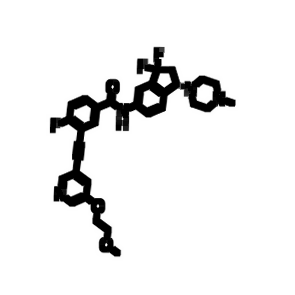 COCCOc1cncc(C#Cc2cc(C(=O)Nc3ccc4c(c3)C(F)(F)C[C@@H]4N3CCN(C)CC3)ccc2F)c1